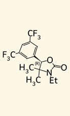 CCN1C(=O)O[C@H](c2cc(C(F)(F)F)cc(C(F)(F)F)c2)C1(C)C